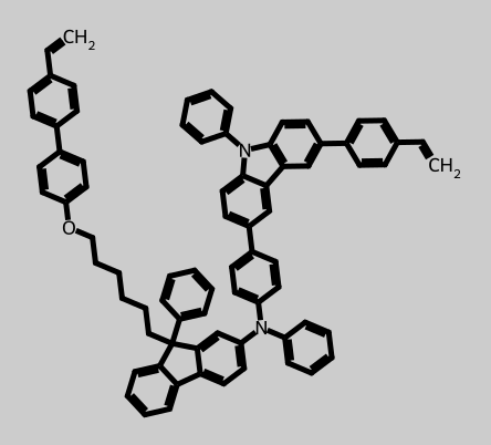 C=Cc1ccc(-c2ccc(OCCCCCCC3(c4ccccc4)c4ccccc4-c4ccc(N(c5ccccc5)c5ccc(-c6ccc7c(c6)c6cc(-c8ccc(C=C)cc8)ccc6n7-c6ccccc6)cc5)cc43)cc2)cc1